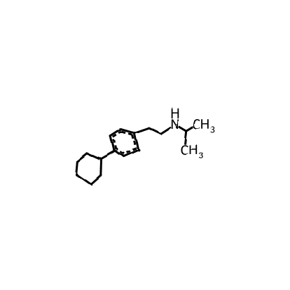 CC(C)NCCc1ccc(C2CCCCC2)cc1